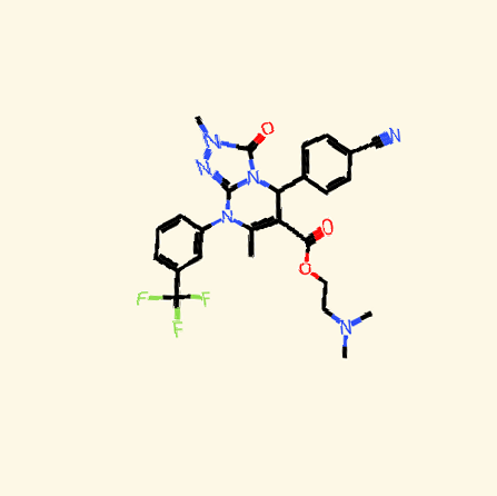 CC1=C(C(=O)OCCN(C)C)C(c2ccc(C#N)cc2)n2c(nn(C)c2=O)N1c1cccc(C(F)(F)F)c1